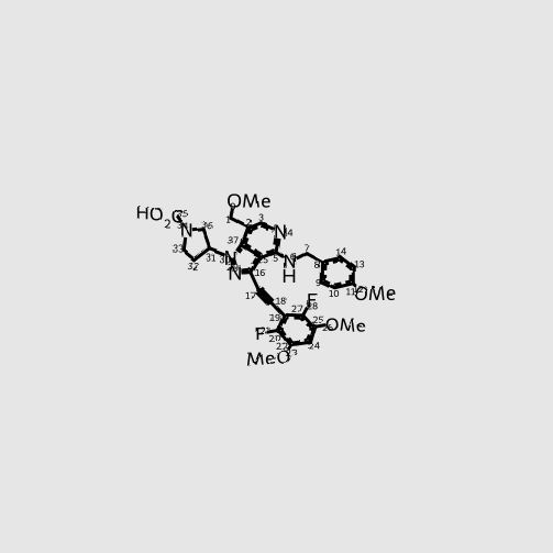 COCc1cnc(NCc2ccc(OC)cc2)c2c(C#Cc3c(F)c(OC)cc(OC)c3F)nn(C3CCN(C(=O)O)C3)c12